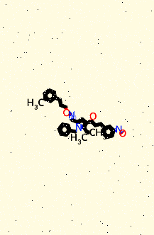 Cc1cccc(CCCO/N=C/c2cc(C(=O)CCc3cccc(N=O)c3)c(C(C)C)n2Cc2ccccc2)c1